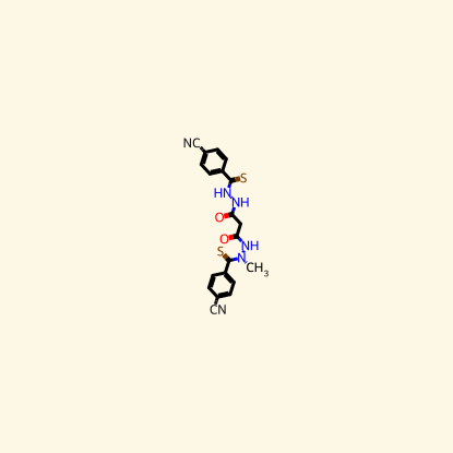 CN(NC(=O)CC(=O)NNC(=S)c1ccc(C#N)cc1)C(=S)c1ccc(C#N)cc1